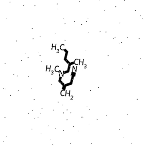 C=C(CC#N)CN(C)CC(C)CCC